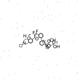 COc1c(C(=O)O)cnn1-c1cccc(-c2cccc(C(F)(F)F)c2OCc2ccc3c(c2C)CCN(C2CCC2)C3)n1